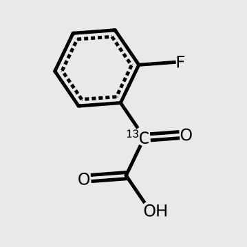 O=C(O)[13C](=O)c1ccccc1F